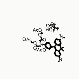 CN=C1C=CC2=C(c3ccc(N(CC(=O)OCOC(C)=O)CC(=O)OCOC(C)=O)c(OC)c3)c3ccc(N(C)C)cc3C(C)(C)C2=C1.O=S(=O)(O)C(F)(F)F